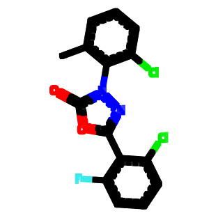 Cc1cccc(Cl)c1-n1nc(-c2c(F)cccc2Cl)oc1=O